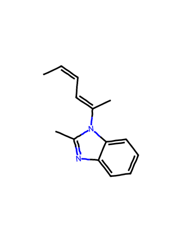 C/C=C\C=C(/C)n1c(C)nc2ccccc21